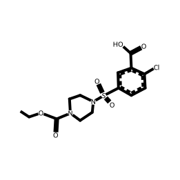 CCOC(=O)N1CCN(S(=O)(=O)c2ccc(Cl)c(C(=O)O)c2)CC1